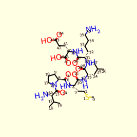 CSCC[C@H](NC(=O)[C@@H]1CCCN1C(=O)[C@@H](N)C(C)C)C(=O)N[C@@H](CC(C)C)C(=O)N[C@@H](CCCCN)C(=O)N[C@@H](CCC(=O)O)C(=O)O